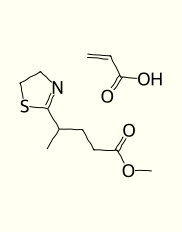 C=CC(=O)O.COC(=O)CCC(C)C1=NCCS1